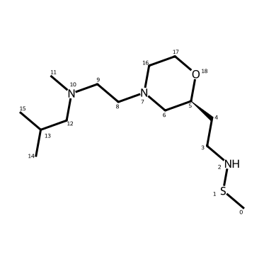 CSNCC[C@H]1CN(CCN(C)CC(C)C)CCO1